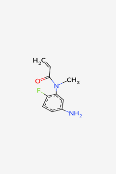 C=CC(=O)N(C)c1cc(N)ccc1F